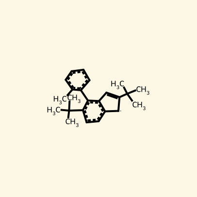 Cc1ccccc1-c1c(C(C)(C)C)ccc2c1C=C(C(C)(C)C)[CH]2